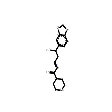 O=C(/C=C/CC(c1ccc2c(c1)OCO2)S(=O)(=O)O)C1CCNCC1